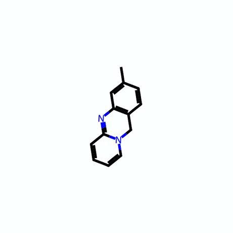 Cc1ccc2c(c1)N=C1C=CC=CN1C2